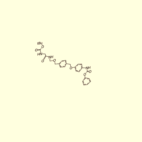 CC(C)(C)OC(=O)NCC(=O)NCOCc1ccc(COc2ccc(NC(=O)Oc3ccccc3)cc2)cc1